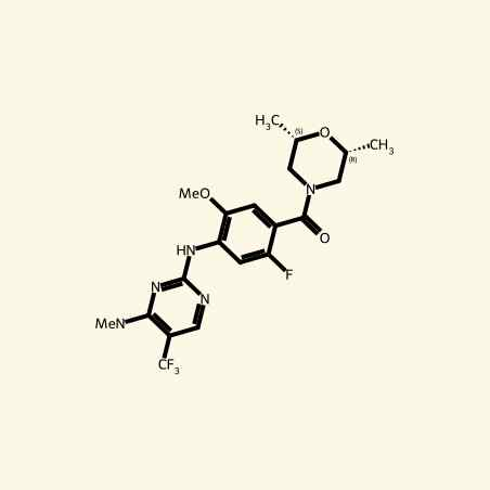 CNc1nc(Nc2cc(F)c(C(=O)N3C[C@@H](C)O[C@@H](C)C3)cc2OC)ncc1C(F)(F)F